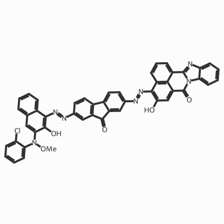 CON(c1ccccc1Cl)c1cc2ccccc2c(N=Nc2ccc3c(c2)C(=O)c2cc(N=Nc4c(O)cc5c(=O)n6c7ccccc7nc6c6cccc4c56)ccc2-3)c1O